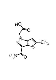 Cc1cc2c(s1)c(C(N)=O)nn2CC(=O)O